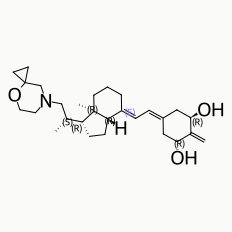 C=C1[C@H](O)CC(=C/C=C2\CCC[C@]3(C)[C@@H]([C@H](C)CN4CCOC5(CC5)C4)CC[C@@H]23)C[C@H]1O